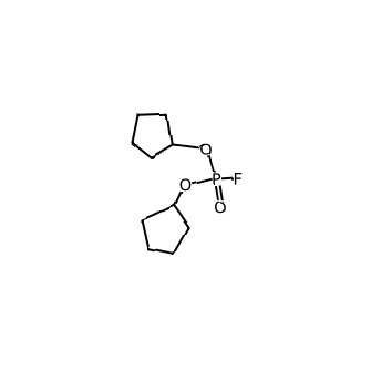 O=P(F)(OC1CCCC1)OC1CCCC1